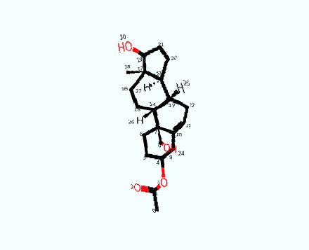 CC(=O)OC1CC[C@@]2(CO)C(=CC[C@@H]3[C@H]2CC[C@]2(C)C(O)CC[C@@H]32)C1